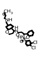 COCCNCc1ccc2c(c1)OCCC2NC(=O)CC(NS(=O)(=O)c1ccc(Cl)c(Cl)c1)c1ccccc1